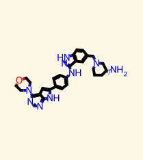 N[C@@H]1CCCN(Cc2ccc3[nH]nc(Nc4ccc(-c5cc6c(N7CCOCC7)ncnc6[nH]5)cc4)c3c2)C1